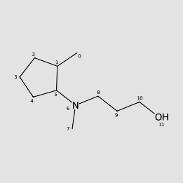 CC1CCCC1N(C)CCCO